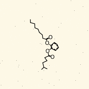 CCCCCCCCC(=O)Oc1ccccc1OC(=O)CCCC(C)C